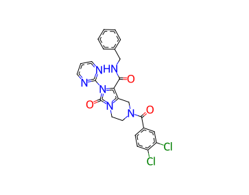 O=C(NCc1ccccc1)c1c2n(c(=O)n1-c1ncccn1)CCN(C(=O)c1ccc(Cl)c(Cl)c1)C2